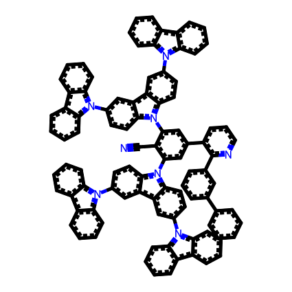 N#Cc1c(-n2c3ccc(-n4c5ccccc5c5ccccc54)cc3c3cc(-n4c5ccccc5c5ccccc54)ccc32)cc(-c2cccnc2-c2cccc(-c3ccccc3)c2)cc1-n1c2ccc(-n3c4ccccc4c4ccccc43)cc2c2cc(-n3c4ccccc4c4ccccc43)ccc21